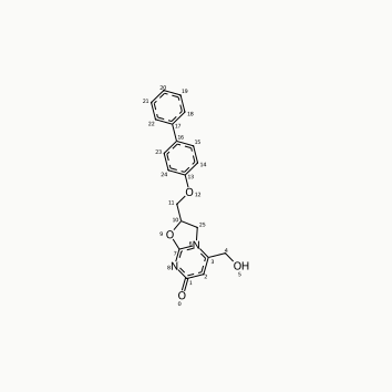 O=c1cc(CO)n2c(n1)OC(COc1ccc(-c3ccccc3)cc1)C2